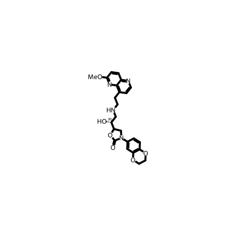 COc1ccc2nccc(CCNC[C@@H](O)C3CN(c4ccc5c(c4)OCCO5)C(=O)O3)c2n1